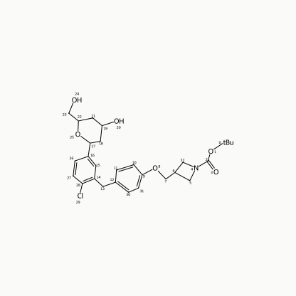 CC(C)(C)OC(=O)N1CC(COc2ccc(Cc3cc(C4CC(O)CC(CO)O4)ccc3Cl)cc2)C1